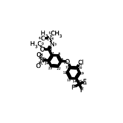 COC(=NN(C)C)c1cc(Oc2ccc(C(F)(F)F)cc2Cl)ccc1[N+](=O)[O-]